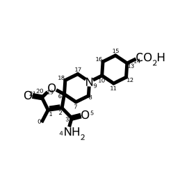 CC1=C(C(N)=O)C2(CCN(C3CCC(C(=O)O)CC3)CC2)OC1=O